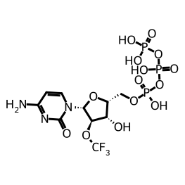 Nc1ccn([C@@H]2O[C@H](COP(=O)(O)OP(=O)(O)OP(=O)(O)O)[C@H](O)[C@H]2OC(F)(F)F)c(=O)n1